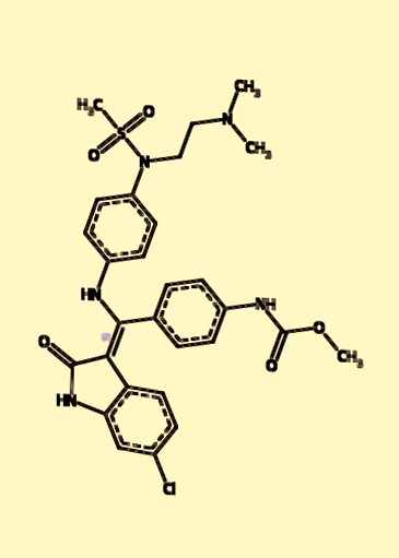 COC(=O)Nc1ccc(/C(Nc2ccc(N(CCN(C)C)S(C)(=O)=O)cc2)=C2/C(=O)Nc3cc(Cl)ccc32)cc1